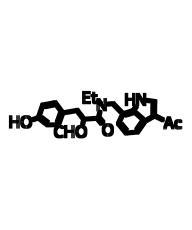 CCN(Cc1cccc2c(C(C)=O)c[nH]c12)C(=O)C(C=O)Cc1ccc(O)cc1